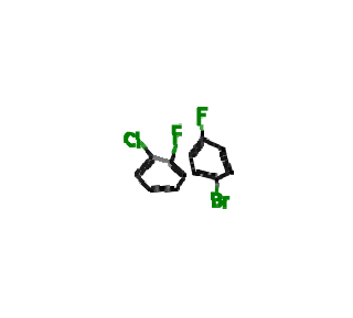 Fc1ccc(Br)cc1.Fc1ccccc1Cl